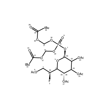 CC(=O)OC[C@H](F)C1O[C@@H](OP(=O)(OCOC(=O)C(C)(C)C)OCOC(=O)C(C)(C)C)C(OC(C)=O)C(OC(C)=O)[C@@H]1OC(C)=O